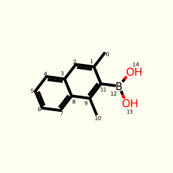 Cc1cc2ccccc2c(C)c1B(O)O